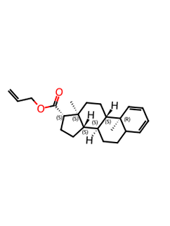 C=CCOC(=O)[C@H]1CC[C@H]2[C@@H]3CCC4C=CC=C[C@]4(C)[C@H]3CC[C@]12C